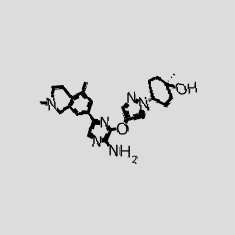 Cc1cc(-c2cnc(N)c(Oc3cnn([C@H]4CC[C@](C)(O)CC4)c3)n2)cc2c1CCN(C)C2